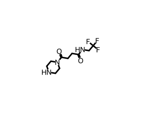 O=C(CCC(=O)N1CCNCC1)NCC(F)(F)F